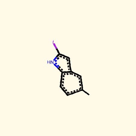 Cc1ccc2[nH]c(I)cc2c1